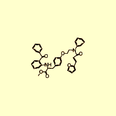 COC(=O)C(Cc1ccc(OCCN(C(=O)C=Cc2ccco2)c2ccccc2)cc1)Nc1ccccc1C(=O)c1ccccc1